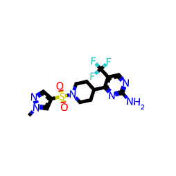 Cn1cc(S(=O)(=O)N2CCC(c3nc(N)ncc3C(F)(F)F)CC2)cn1